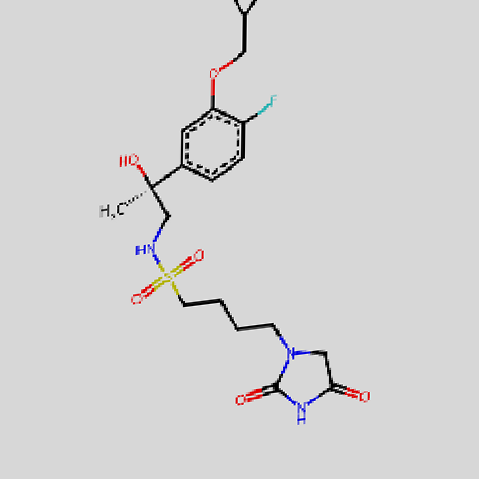 C[C@@](O)(CNS(=O)(=O)CCCCN1CC(=O)NC1=O)c1ccc(F)c(OCC2CC2)c1